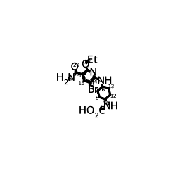 CCOc1nc(NC2CCC(NC(=O)O)CC2)c(Br)cc1C(N)=O